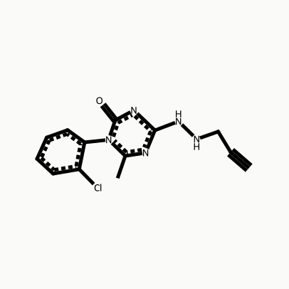 C#CCNNc1nc(C)n(-c2ccccc2Cl)c(=O)n1